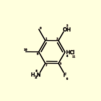 Cc1c(O)cc(F)c(N)c1C.Cl